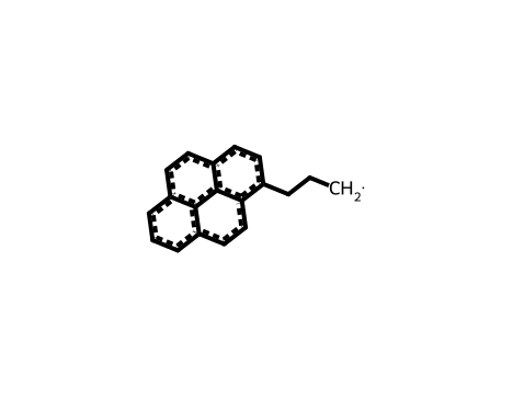 [CH2]CCc1ccc2ccc3cccc4ccc1c2c34